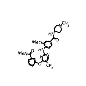 CNC(=O)c1cccc(Oc2nc(Nc3ccc(C(=O)NC4CCN(C)CC4)cc3OC)ncc2C(F)(F)F)c1